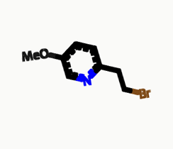 COc1ccc(CCBr)nc1